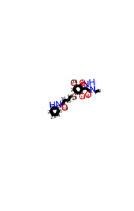 CCNC(=O)c1noc2c1C(=O)C(SCCCC(=O)Nc1ccccc1)=CC2=O